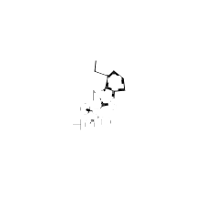 CCc1cccc2sc(S(=O)(=O)O)nc12